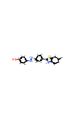 Cc1ccc2nc(-c3ccc(/N=N/c4ccc(O)cc4)cc3)sc2c1